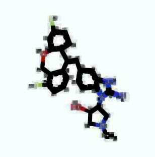 CN1CC(n2c(=N)[nH]c3cc(/C=C4/c5ccc(F)cc5OCc5c(F)cccc54)ccc32)[C@H](O)C1